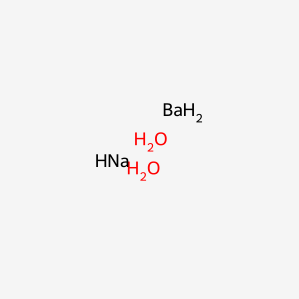 O.O.[BaH2].[NaH]